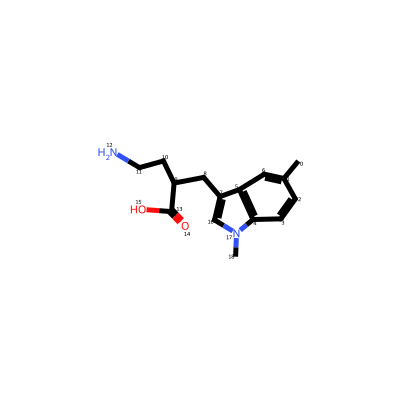 Cc1ccc2c(c1)c(CC(CCN)C(=O)O)cn2C